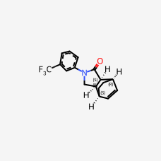 O=C1[C@@H]2[C@H](CN1c1cccc(C(F)(F)F)c1)[C@@H]1C=C[C@H]2CC1